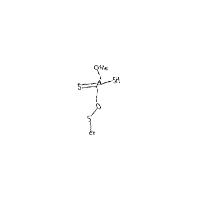 CCSOP(=S)(S)OC